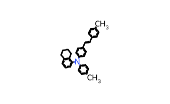 Cc1ccc(C=Cc2ccc(N(c3ccc(C)cc3)c3cccc4c3CCCC4)cc2)cc1